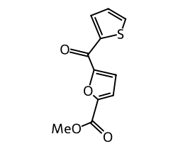 COC(=O)c1ccc(C(=O)c2cccs2)o1